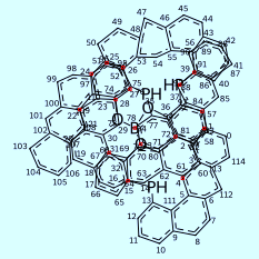 c1ccc2cc3c(ccc4cccc(Pc5ccc6ccc7cc8ccccc8cc7c6c5OB(Oc5c(Pc6cccc7ccc8cc9ccccc9cc8c67)ccc6ccc7cc8ccccc8cc7c56)Oc5c(Pc6cccc7ccc8cc9ccccc9cc8c67)ccc6ccc7cc8ccccc8cc7c56)c43)cc2c1